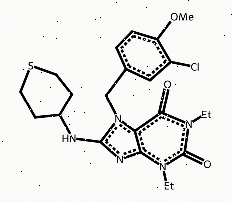 CCn1c(=O)c2c(nc(NC3CCSCC3)n2Cc2ccc(OC)c(Cl)c2)n(CC)c1=O